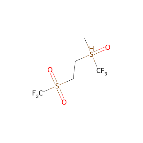 C[SH](=O)(CCS(=O)(=O)C(F)(F)F)C(F)(F)F